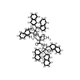 CCC(CC)(C(=O)NCC(O)(Cc1ccc2ccccc2c1)C(c1ccc2ccccc2c1)c1cccc2ccccc12)C(=O)NCC(O)(Cc1ccc2ccccc2c1)C(c1ccc2ccccc2c1)c1cccc2ccccc12